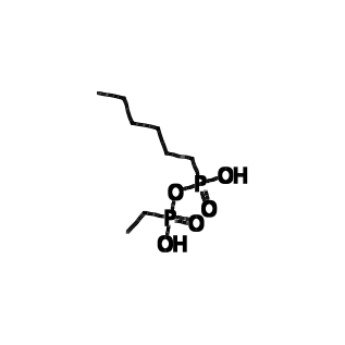 CCCCCCP(=O)(O)OP(=O)(O)CC